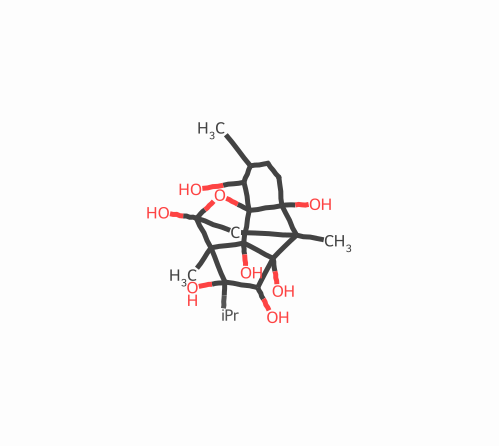 CC1CCC2(O)C3(C)CC4(O)OC2(C1O)C1(O)C3(O)C(O)C(O)(C(C)C)C41C